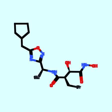 CC(C)C[C@@H](C(=O)N[C@H](c1noc(CC2CCCC2)n1)C(C)(C)C)[C@H](O)C(=O)NO